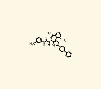 CC1=N[C@@H](NC(=O)Nc2cccc(C)c2)C(=O)N(CC(=O)N2CCC(c3ccccc3)CC2)c2c(C)cccc21